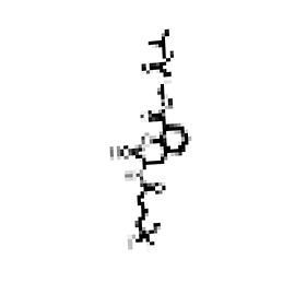 CC(C)OC(=O)OCOC(=O)c1cccc2c1OB(O)[C@@H](NC(=O)CCCC(F)(F)F)C2